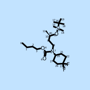 CCCCOC(=O)N(CC[C@@H](C)O[Si](C)(C)C(C)(C)C)C1CCC(F)(F)CC1